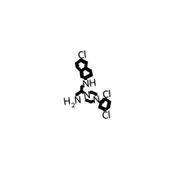 NCC(CNc1ccc2cc(Cl)ccc2c1)N1CCN(c2cc(Cl)ccc2Cl)CC1